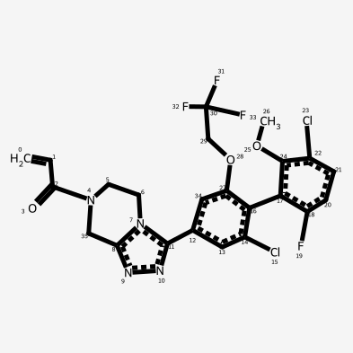 C=CC(=O)N1CCn2c(nnc2-c2cc(Cl)c(-c3c(F)ccc(Cl)c3OC)c(OCC(F)(F)F)c2)C1